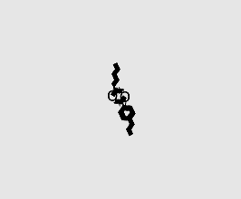 CCCCC[C@H]1CO[C@H](c2ccc(CCC)cc2)CO1